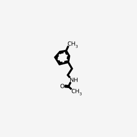 CC(=O)NCCc1cccc(C)c1